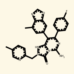 Cc1ccc(Cn2[nH]c3c(-c4cc(C)c5ncoc5c4)c(-c4ccc(F)cc4)nc(N)[n+]3c2=O)nc1